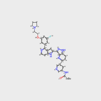 CCCCC(=O)Nc1cncc(-c2ccc3[nH]nc(-c4cc5c(-c6cc(F)cc(OCCN7CCCC7)c6)nccc5[nH]4)c3n2)c1